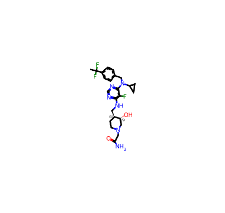 CC(F)(F)c1ccc(CN(c2ncnc(NC[C@@H]3CCN(CC(N)=O)C[C@H]3O)c2F)C2CC2)cc1